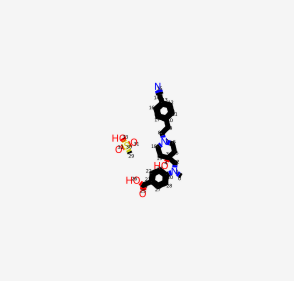 CN(CC1(O)CCN(CCc2ccc(C#N)cc2)CC1)c1ccc(C(=O)O)cc1.CS(=O)(=O)O